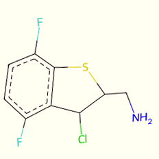 NCC1Sc2c(F)ccc(F)c2C1Cl